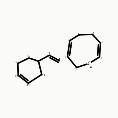 C1=CCCC=CCC1.C=CC1CC=CCC1